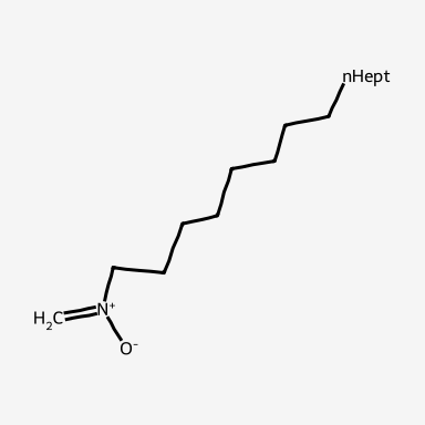 C=[N+]([O-])CCCCCCCCCCCCCCC